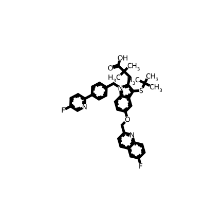 CC(C)(C)Sc1c(CC(C)(C)C(=O)O)n(Cc2ccc(-c3ccc(F)cn3)cc2)c2ccc(OCc3ccc4cc(F)ccc4n3)cc12